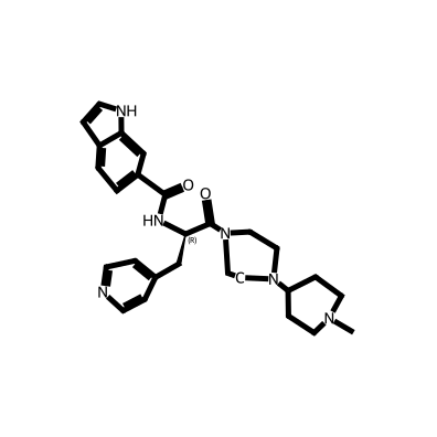 CN1CCC(N2CCN(C(=O)[C@@H](Cc3ccncc3)NC(=O)c3ccc4cc[nH]c4c3)CC2)CC1